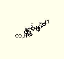 O=C(O)c1ccc2nc(Cc3ccc(-c4cccc(OCc5ccc(Cl)cc5F)n4)cc3F)n(CC3CCO3)c2c1F